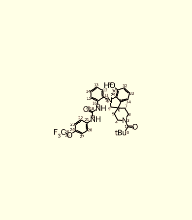 CC(C)(C)C(=O)N1CCC2(CC1)CN(c1ccccc1NC(=O)Nc1ccc(OC(F)(F)F)cc1)c1c(O)cccc12